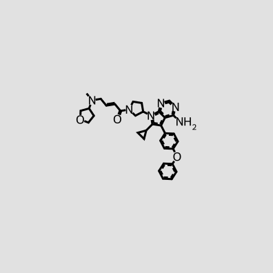 CN(CC=CC(=O)N1CCC(n2c(C3CC3)c(-c3ccc(Oc4ccccc4)cc3)c3c(N)ncnc32)C1)C1CCOC1